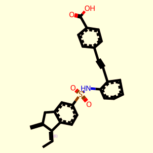 C=C1Cc2cc(S(=O)(=O)Nc3ccccc3C#Cc3ccc(C(=O)O)cc3)ccc2/C1=C/C